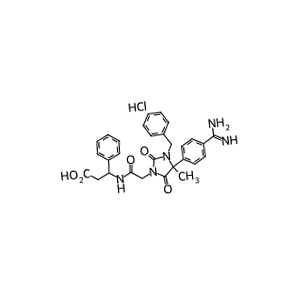 CC1(c2ccc(C(=N)N)cc2)C(=O)N(CC(=O)NC(CC(=O)O)c2ccccc2)C(=O)N1Cc1ccccc1.Cl